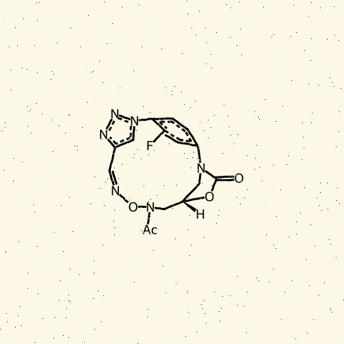 CC(=O)N1C[C@@H]2CN(C(=O)O2)c2ccc(c(F)c2)-n2cc(nn2)C=NO1